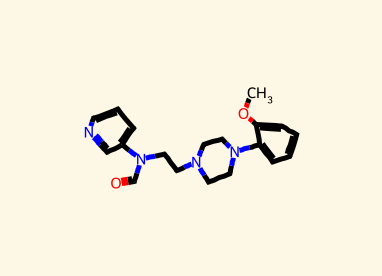 COc1ccccc1N1CCN(CCN(C=O)c2cccnc2)CC1